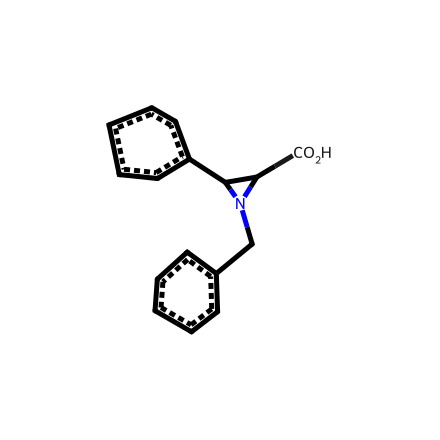 O=C(O)C1C(c2ccccc2)N1Cc1ccccc1